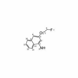 [NH]c1cc(OCCF)cc2ccccc12